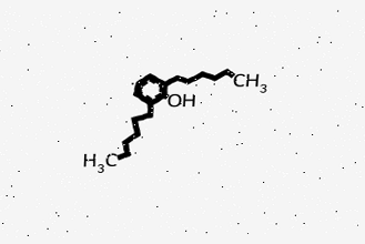 CCCCCCc1c[c]cc(CCCCCC)c1O